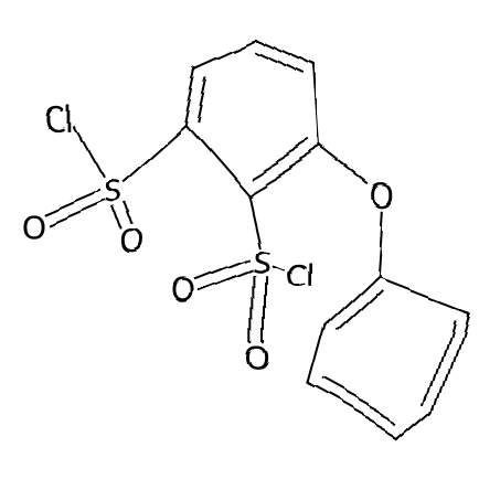 O=S(=O)(Cl)c1cccc(Oc2ccccc2)c1S(=O)(=O)Cl